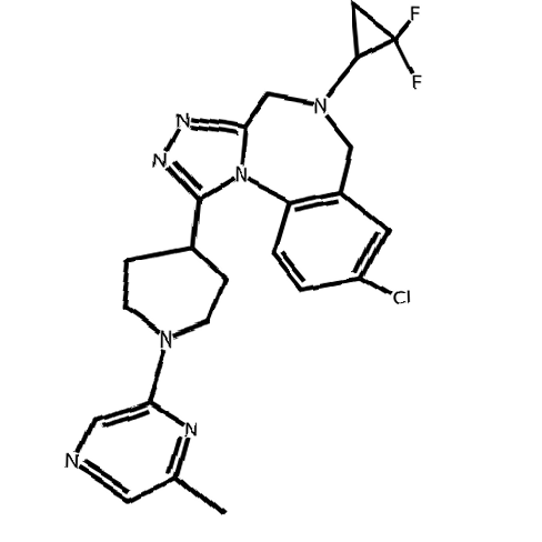 Cc1cncc(N2CCC(c3nnc4n3-c3ccc(Cl)cc3CN(C3CC3(F)F)C4)CC2)n1